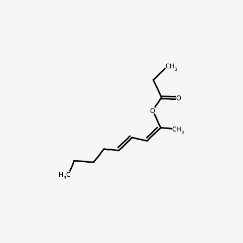 CCCCC=CC=C(C)OC(=O)CC